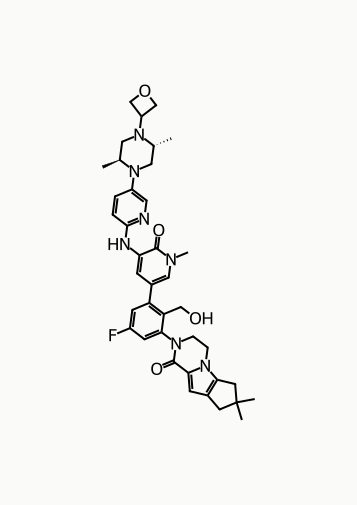 C[C@@H]1CN(c2ccc(Nc3cc(-c4cc(F)cc(N5CCn6c(cc7c6CC(C)(C)C7)C5=O)c4CO)cn(C)c3=O)nc2)[C@@H](C)CN1C1COC1